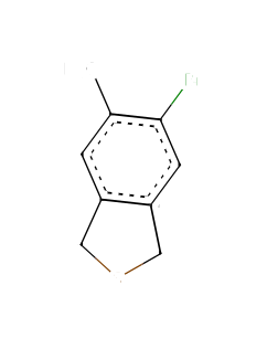 Cc1cc2c(cc1Br)CSC2